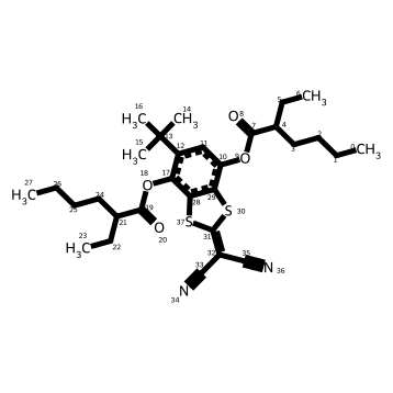 CCCCC(CC)C(=O)Oc1cc(C(C)(C)C)c(OC(=O)C(CC)CCCC)c2c1SC(=C(C#N)C#N)S2